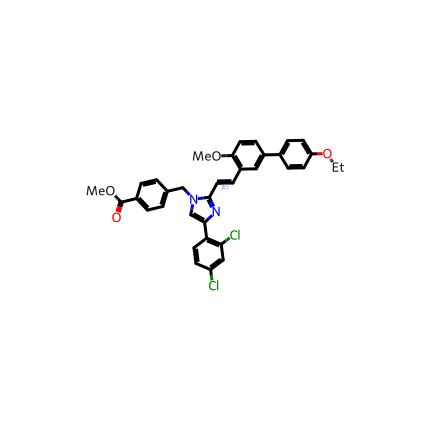 CCOc1ccc(-c2ccc(OC)c(/C=C/c3nc(-c4ccc(Cl)cc4Cl)cn3Cc3ccc(C(=O)OC)cc3)c2)cc1